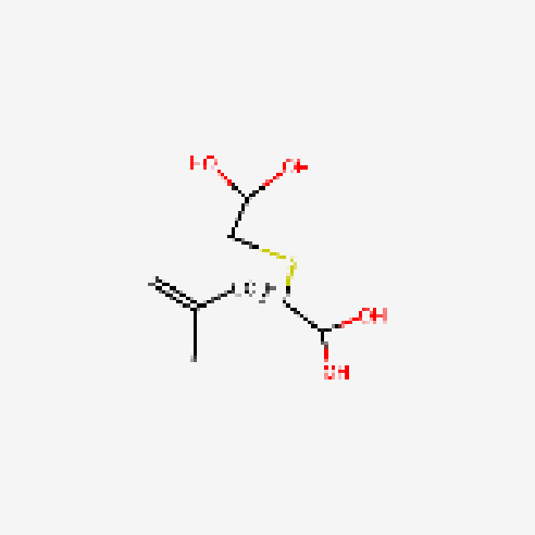 C=C(C)C(=O)O.OC(O)CSCC(O)O